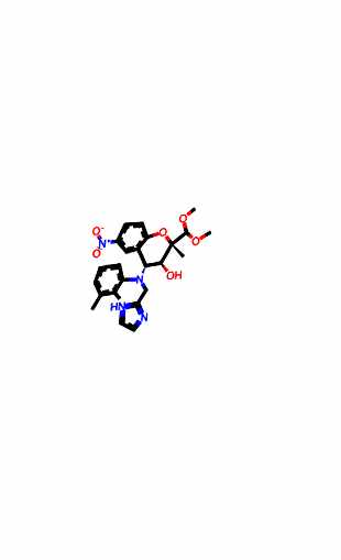 COC(OC)[C@@]1(C)Oc2ccc([N+](=O)[O-])cc2[C@@H](N(Cc2ncc[nH]2)c2cccc(C)c2C)[C@@H]1O